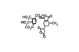 CC1CC(C2CC(=O)OC2=O)CC2=C1C(=O)OC2=O.O=C(O)c1ccc(C(=O)O)c(C(=O)O)c1C(=O)O